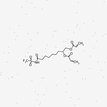 C=CC(=O)OCC(CCCCCCC(=O)NS(=O)(=O)C(F)(F)F)OC(=O)C=C